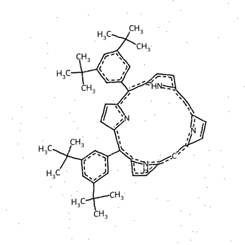 CC(C)(C)c1cc(-c2c3nc(c(-c4cc(C(C)(C)C)cc(C(C)(C)C)c4)c4ccc(cc5nc(cc6ccc2[nH]6)C=C5)[nH]4)C=C3)cc(C(C)(C)C)c1